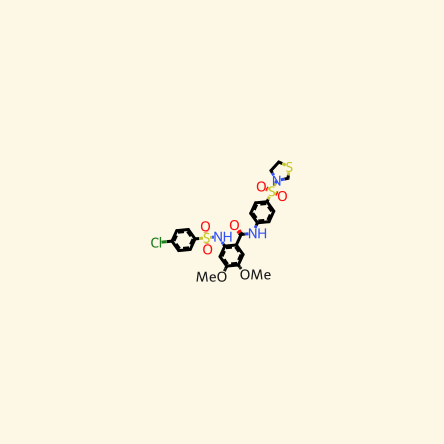 COc1cc(NS(=O)(=O)c2ccc(Cl)cc2)c(C(=O)Nc2ccc(S(=O)(=O)N3CCSC3)cc2)cc1OC